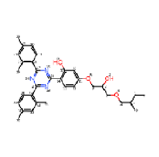 CCC(C)COCC(O)COc1ccc(-c2nc(-c3ccc(C)cc3C)nc(-c3ccc(C)cc3C)n2)c(O)c1